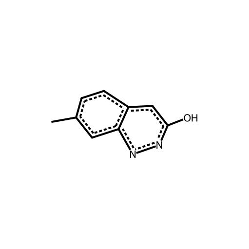 Cc1ccc2cc(O)nnc2c1